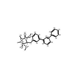 COP(=O)(OC)C(Cc1cccc(-c2cccc(-c3ccccc3)c2)c1)P(=O)(OC)OC